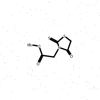 CC(C)(C)OC(=O)CN1C(=O)CSC1=S